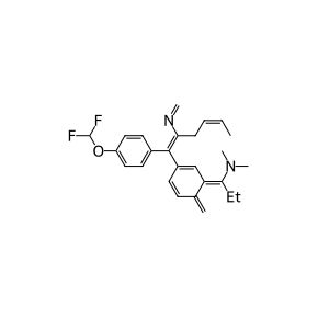 C=N/C(C/C=C\C)=C(\c1ccc(OC(F)F)cc1)c1ccc(=C)/c(=C(\CC)N(C)C)c1